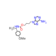 COc1ccc([C@@H](C)NC(=O)OCCCCn2cnc3c(N)ncnc32)cc1